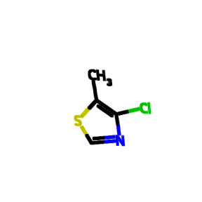 Cc1scnc1Cl